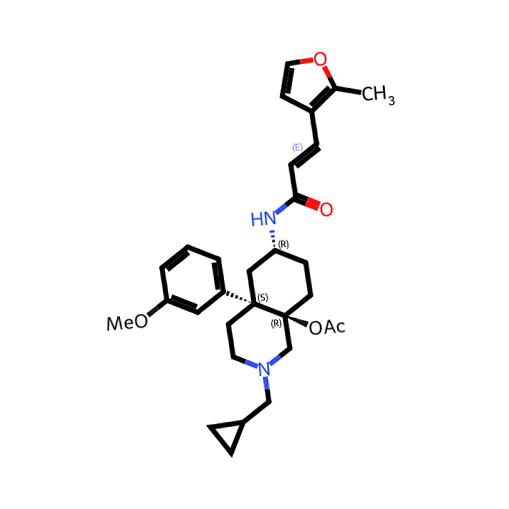 COc1cccc([C@@]23CCN(CC4CC4)C[C@@]2(OC(C)=O)CC[C@@H](NC(=O)/C=C/c2ccoc2C)C3)c1